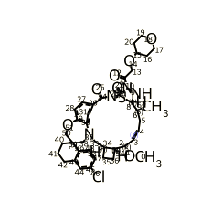 CO[C@H]1/C=C\C[C@H](C)[C@H]2NN(C(=O)COC3CCOCC3)[S@@]2(=O)=NC(=O)c2ccc3c(c2)N(C[C@@H]2CC[C@H]21)C[C@@]1(CCCc2cc(Cl)ccc21)CO3